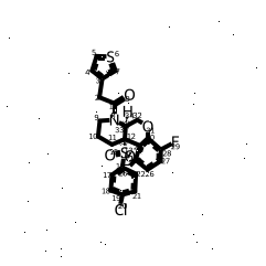 O=C(Cc1ccsc1)N1CCC[C@]2(S(=O)(=O)c3ccc(Cl)cc3)c3c(F)ccc(F)c3OC[C@H]12